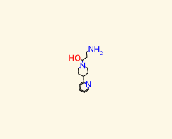 NCCC(O)N1CCC(c2ccccn2)CC1